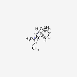 CCC/C(C)=C/C=C\C1=C(C)NCCCC1(C)C